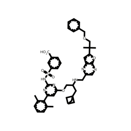 Cc1cccc(C)c1-c1cc(OCC(CC23CC(C2)C3)NCc2cnc3oc(C(C)(C)COCc4ccccc4)cc3n2)nc(NS(=O)(=O)c2cccc(C(=O)O)c2)n1